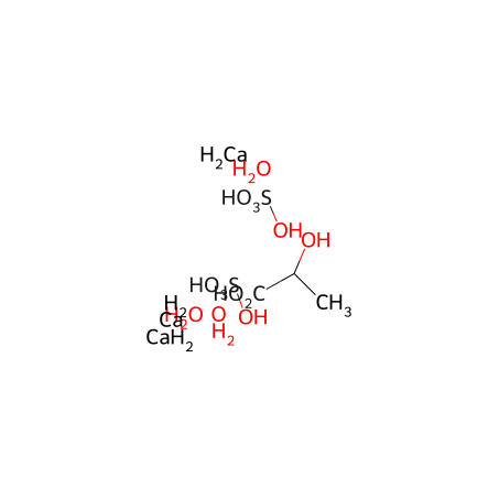 CC(O)C(=O)O.O.O.O.O=S(=O)(O)O.O=S(=O)(O)O.[CaH2].[CaH2].[CaH2]